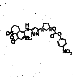 CC(C)(C)n1nc([C@H]2CC[C@@H](OC(=O)Oc3ccc([N+](=O)[O-])cc3)C2)cc1Nc1ccc(Cl)c2c1CCCS2(=O)=O